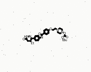 CCC1CC(=O)NN=C1c1ccc2nc(-c3ccc(OCCN4CCN(OC(=O)OC(C)(C)C)CC4)cc3)oc2c1